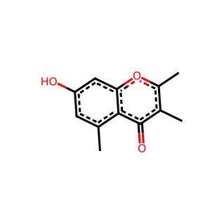 Cc1oc2cc(O)cc(C)c2c(=O)c1C